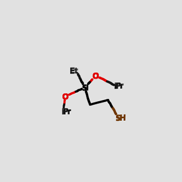 CC[Si](CCS)(OC(C)C)OC(C)C